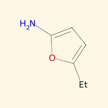 CCc1ccc(N)o1